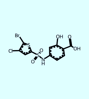 O=C(O)c1ccc(NS(=O)(=O)c2cc(Cl)c(Br)s2)cc1O